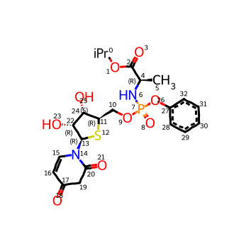 CC(C)OC(=O)[C@@H](C)NP(=O)(OC[C@H]1S[C@@H](N2C=CC(=O)CC2=O)[C@H](O)[C@@H]1O)Oc1ccccc1